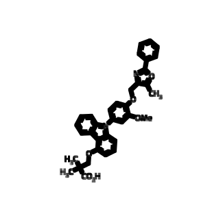 COc1cc(-n2c3ccccc3c3c(OCC(C)(C)C(=O)O)cccc32)ccc1OCc1nc(-c2ccccc2)oc1C